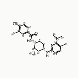 Cc1cnc(N[C@H]2CC[C@@H](NC(=O)c3ccc(Cl)c(F)c3)CC2)nc1N(C)C.Cl